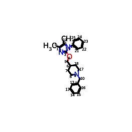 Cc1nc(OCC2CCN(Cc3ccccc3)CC2)n(-c2ccccc2)c1C